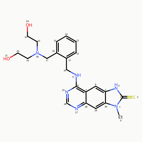 CCn1c(=S)[nH]c2cc3c(NCc4ccccc4CN(CCO)CCO)ncnc3cc21